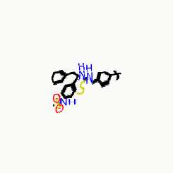 CC(C)(C)c1ccc(CNC(=S)NC(Cc2ccccc2)c2ccc(NS(C)(=O)=O)cc2)cc1